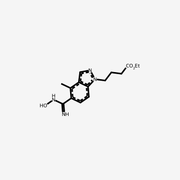 CCOC(=O)CCCn1ncc2c(C)c(C(=N)NO)ccc21